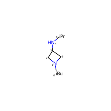 CCC(C)N1CC(NC(C)C)C1